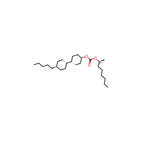 CCCCCC[C@H](C)OC(=O)O[C@H]1CC[C@H]([C@H]2CC[C@H](CCCCC)CC2)CC1